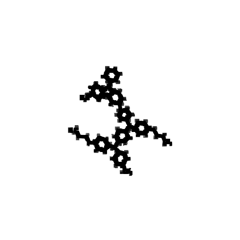 CCCCc1ccc(N(c2ccc(C)cc2)c2ccc(N(c3ccc(CCCC)cc3)c3ccc(-c4ccc5c(c4)c4cc(C)ccc4n5-c4ccccc4)cc3)cc2)cc1